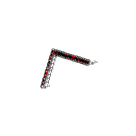 O=CO.O=CO.O=CO.O=CO.O=CO.O=CO.O=CO.O=CO.O=CO.O=CO.O=CO.O=CO.O=CO.O=CO.O=CO.O=CO.O=CO.O=CO.O=CO.O=CO.O=CO.O=CO.O=CO.O=CO.O=CO.O=CO.O=C[O-].O=C[O-].O=C[O-].O=C[O-].[Ca+2].[Ca+2]